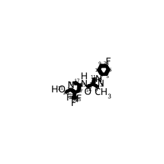 Cc1nn(-c2ccc(F)cc2)cc1C(=O)Nc1cnc(CO)c(C(F)(F)F)c1